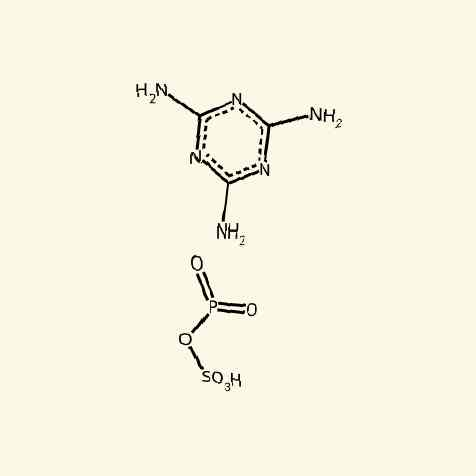 Nc1nc(N)nc(N)n1.O=P(=O)OS(=O)(=O)O